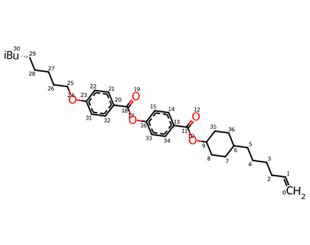 C=CCCCCC1CCC(OC(=O)c2ccc(OC(=O)c3ccc(OCCCCC[C@@H](C)CC)cc3)cc2)CC1